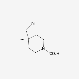 CC1(CO)CCN(C(=O)O)CC1